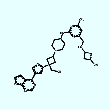 N#CCC1(n2cc(-c3ncnc4[nH]ccc34)cn2)CC(N2CCC(Nc3cc(CNC4CC(O)C4)cc(C(F)(F)F)n3)CC2)C1